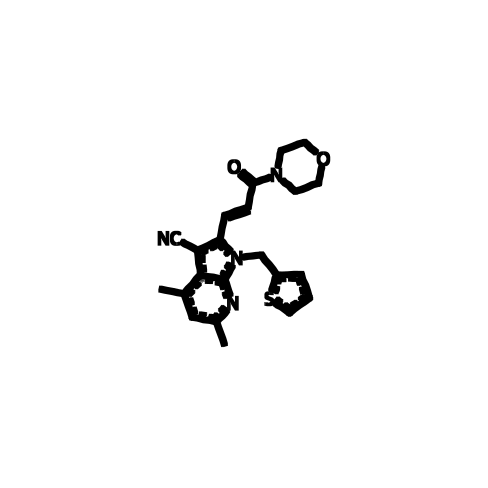 Cc1cc(C)c2c(C#N)c(/C=C/C(=O)N3CCOCC3)n(Cc3cccs3)c2n1